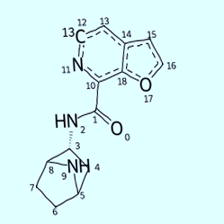 O=C(N[C@@H]1CC2CCC1N2)c1n[13cH]cc2ccoc12